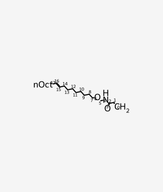 C=CC(=O)NCOCCCCCCCCC=CCCCCCCCC